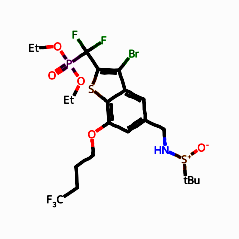 CCOP(=O)(OCC)C(F)(F)c1sc2c(OCCCC(F)(F)F)cc(CN[S+]([O-])C(C)(C)C)cc2c1Br